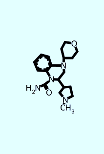 CN1CCC(C2CN(C3CCOCC3)c3ccccc3N2C(N)=O)C1